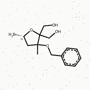 B[C@H]1CC(C)(OCc2ccccc2)C(CO)(CO)O1